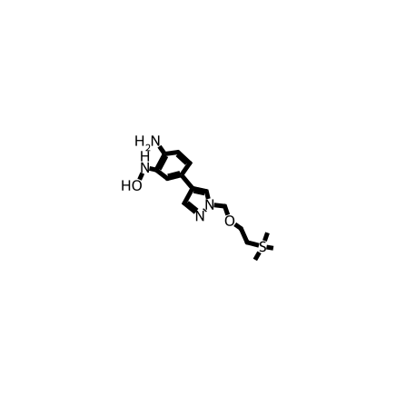 CS(C)(C)CCOCn1cc(-c2ccc(N)c(NO)c2)cn1